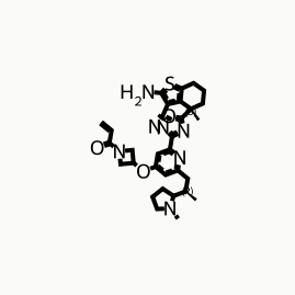 C=CC(=O)N1CC(Oc2cc(C[C@@H](C)C3CCCN3C)nc(-c3noc([C@@]4(C)CCCc5sc(N)c(C#N)c54)n3)c2)C1